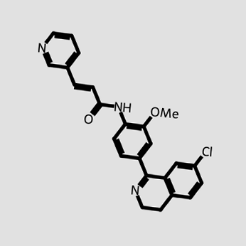 COc1cc(C2=NCCc3ccc(Cl)cc32)ccc1NC(=O)C=Cc1cccnc1